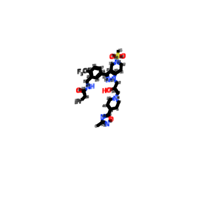 Cc1noc(C2CCN(CC(O)Cn3nc(-c4ccc(C(F)(F)F)c(CNC(=O)CC(C)C)c4)c4c3CCN(S(C)(=O)=O)C4)CC2)n1